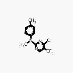 Cc1ccc(N(C)c2ncc(C(F)(F)F)c(Cl)n2)cc1